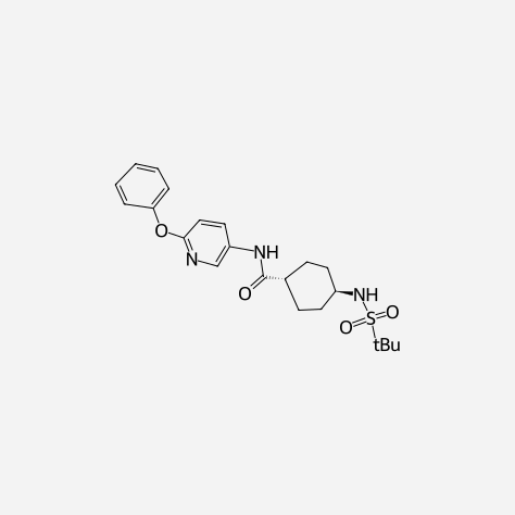 CC(C)(C)S(=O)(=O)N[C@H]1CC[C@H](C(=O)Nc2ccc(Oc3ccccc3)nc2)CC1